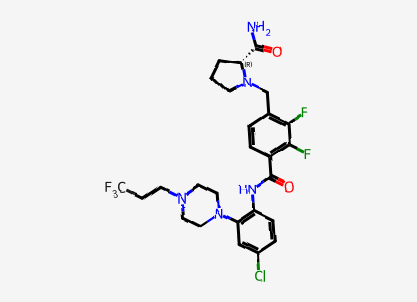 NC(=O)[C@H]1CCCN1Cc1ccc(C(=O)Nc2ccc(Cl)cc2N2CCN(CCC(F)(F)F)CC2)c(F)c1F